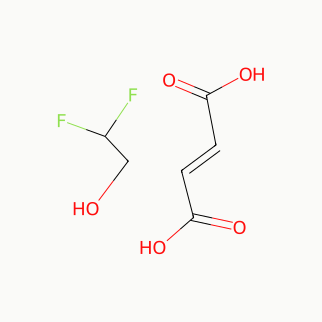 O=C(O)/C=C/C(=O)O.OCC(F)F